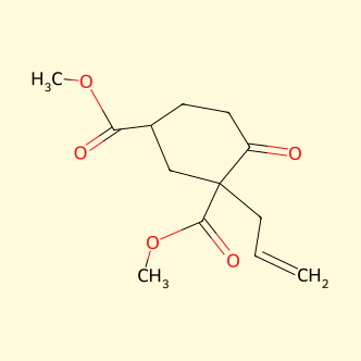 C=CCC1(C(=O)OC)CC(C(=O)OC)CCC1=O